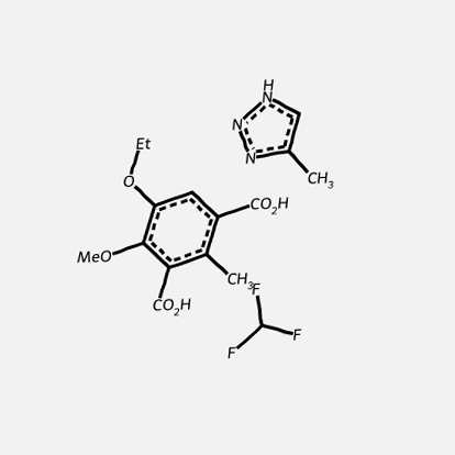 CCOc1cc(C(=O)O)c(C)c(C(=O)O)c1OC.Cc1c[nH]nn1.FC(F)F